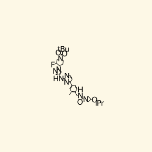 Cc1cc(-c2ccnc(Nc3cnn(C4CCN(C(=O)OC(C)(C)C)CC4F)c3)n2)ccc1CNC(=O)N1CC(OC(C)C)C1